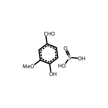 COc1cc(C=O)ccc1O.O=S(O)O